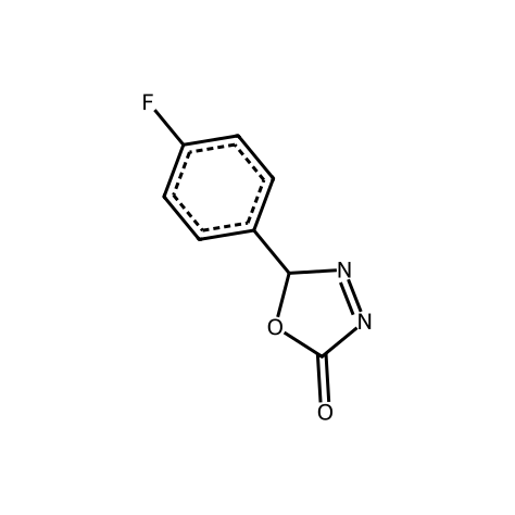 O=C1N=NC(c2ccc(F)cc2)O1